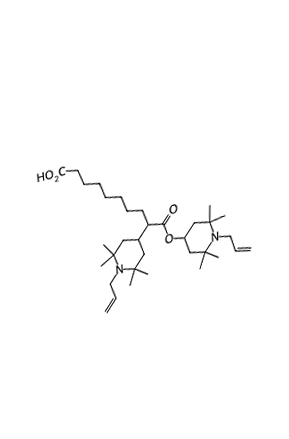 C=CCN1C(C)(C)CC(OC(=O)C(CCCCCCCC(=O)O)C2CC(C)(C)N(CC=C)C(C)(C)C2)CC1(C)C